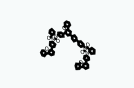 O=c1c2ccccc2n(-c2ccc(-c3cccc4c3oc3ccccc34)cc2)c(=O)n1-c1ccc(-c2ccc(-c3cc(-c4ccc(-n5c(=O)n(-c6ccc(-c7cccc8c7oc7ccccc78)cc6)c(=O)c6ccccc65)cc4)c4oc5ccccc5c4c3)cc2)cc1